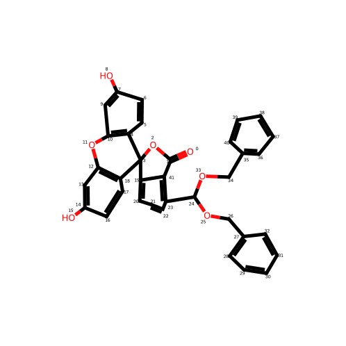 O=C1OC2(c3ccc(O)cc3Oc3cc(O)ccc32)c2cccc(C(OCc3ccccc3)OCc3ccccc3)c21